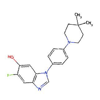 CC1(C)CCN(c2ccc(-n3cnc4cc(F)c(O)cc43)cc2)CC1